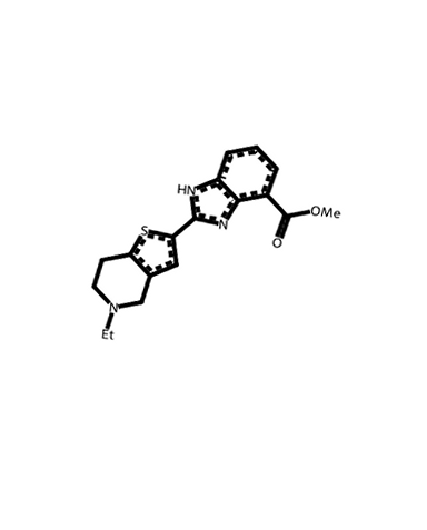 CCN1CCc2sc(-c3nc4c(C(=O)OC)cccc4[nH]3)cc2C1